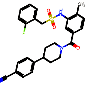 Cc1ccc(C(=O)N2CCC(c3ccc(C#N)cc3)CC2)cc1NS(=O)(=O)Cc1ccccc1F